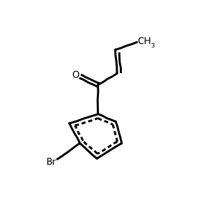 C/C=C/C(=O)c1cccc(Br)c1